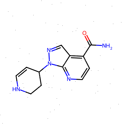 NC(=O)c1ccnc2c1cnn2C1C=CNCC1